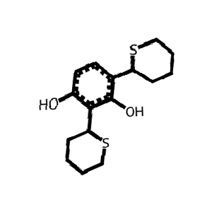 Oc1ccc(C2CCCCS2)c(O)c1C1CCCCS1